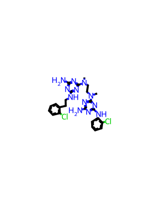 CN(CCN(C)c1nc(N)nc(Nc2ccccc2Cl)n1)c1nc(N)nc(NCCc2ccccc2Cl)n1